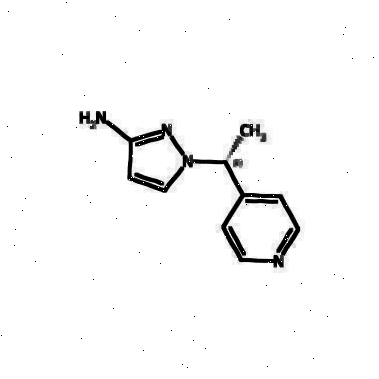 C[C@H](c1ccncc1)n1ccc(N)n1